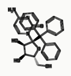 Nc1ccn([C@]2(C(c3ccccc3)(c3ccccc3)c3ccccc3)O[C@H](CO)[C@@H](O)[C@H]2O)c(=O)n1